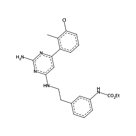 CCOC(=O)Nc1cccc(CCNc2cc(-c3cccc(Cl)c3C)nc(N)n2)c1